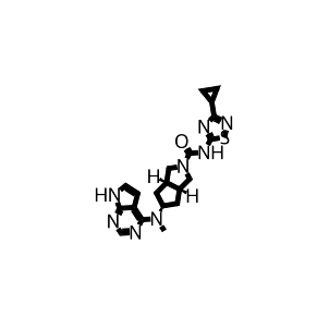 CN(c1ncnc2[nH]ccc12)[C@H]1C[C@@H]2CN(C(=O)Nc3nc(C4CC4)ns3)C[C@@H]2C1